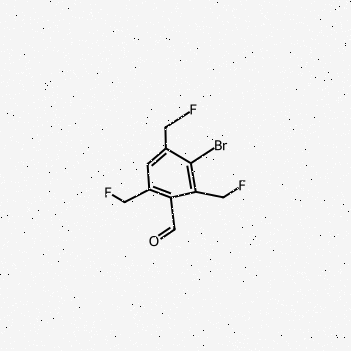 O=Cc1c(CF)cc(CF)c(Br)c1CF